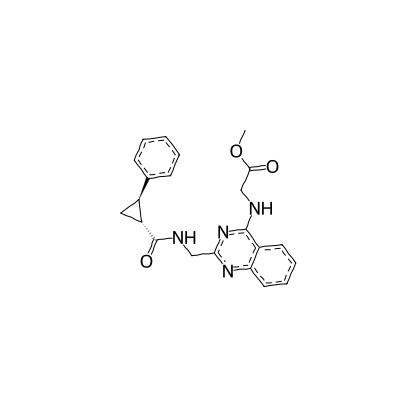 COC(=O)CNc1nc(CNC(=O)[C@@H]2C[C@H]2c2ccccc2)nc2ccccc12